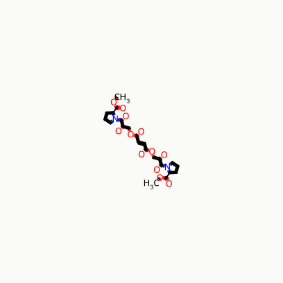 COC(=O)[C@@H]1CCCN1C(=O)C(=O)COC(=O)/C=C/C(=O)OCC(=O)C(=O)N1CCC[C@H]1C(=O)OC